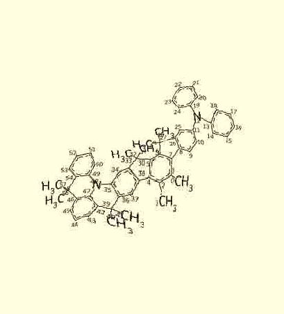 Cc1c(C)c2c(c3c1-c1ccc(N(c4ccccc4)c4ccccc4)cc1C3(C)C)C(C)(C)c1cc3c(cc1-2)C(C)(C)c1cccc2c1N3c1ccccc1C2(C)C